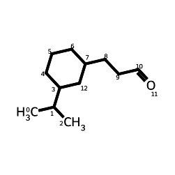 CC(C)C1CCCC(CCC=O)C1